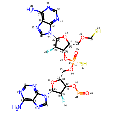 Nc1ncnc2c1ncn2[C@@H]1O[C@H](CO[P@@](=O)(S)O[C@H]2[C@@H](F)[C@H](n3cnc4c(N)ncnc43)O[C@@H]2COCS)[C@@H](OP=O)[C@H]1F